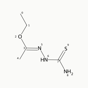 CCOC(C)=NNC(N)=S